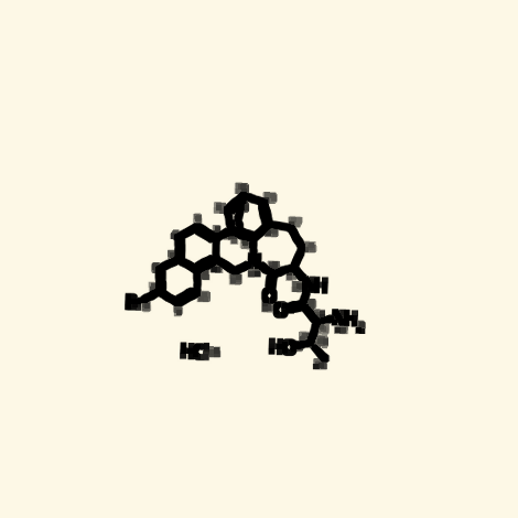 COc1ccc2cc(Br)ccc2c1CN1C(=O)C(NC(=O)[C@@H](N)[C@@H](C)O)CCc2ccccc21.Cl